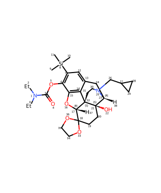 CCN(CC)C(=O)Oc1c([Si](C)(C)C)cc2c3c1O[C@H]1C4(CC[C@@]5(O)[C@@H](C2)N(CC2CC2)CC[C@]315)OCCO4